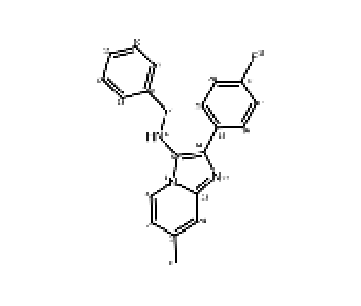 Cc1ccn2c(NCc3ccccc3)c(-c3ccc(F)cc3)nc2c1